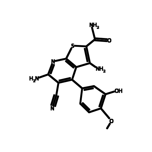 COc1ccc(-c2c(C#N)c(N)nc3sc(C(N)=O)c(N)c23)cc1O